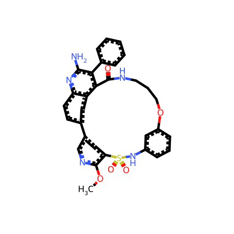 COc1ncc2cc1S(=O)(=O)Nc1cccc(c1)OCCCNC(=O)c1c(-c3ccccc3)c(N)nc3ccc-2cc13